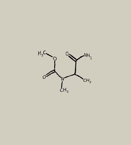 COC(=O)N(C)C(C)C(N)=O